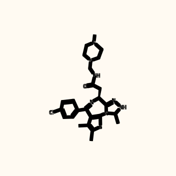 Cc1sc2c(c1C)C(c1ccc(Cl)cc1)=N[C@@H](CC(=O)NCN1CCN(C)CC1)C1=NNC(C)N12